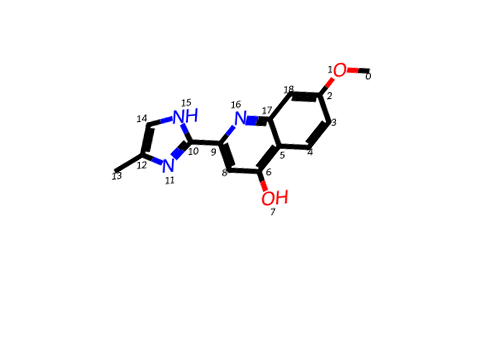 COc1ccc2c(O)cc(-c3nc(C)c[nH]3)nc2c1